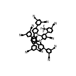 N#Cc1cc(C#N)cc(-c2ccc3c4ccc(-c5cc(C#N)cc(C#N)c5)cc4n(-c4cc(C#N)c(-c5ccc(C#N)cc5C(F)(F)F)cc4-n4c5cc(-c6cc(C#N)cc(C#N)c6)ccc5c5ccc(-c6cc(C#N)cc(C#N)c6)cc54)c3c2)c1